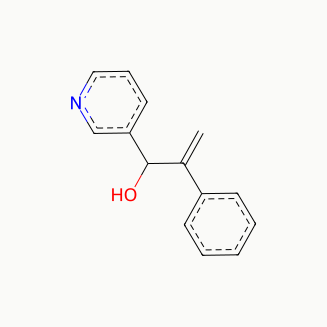 C=C(c1ccccc1)C(O)c1cccnc1